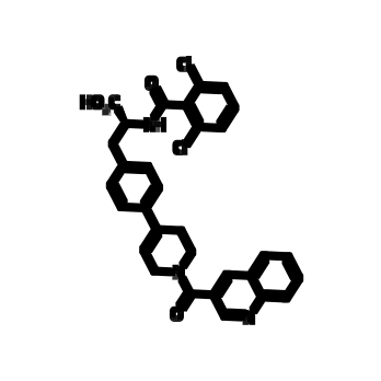 O=C(N[C@@H](Cc1ccc(C2=CCN(C(=O)c3cnc4ccccc4c3)CC2)cc1)C(=O)O)c1c(Cl)cccc1Cl